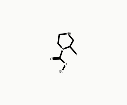 CCOC(=O)N1CCNCC1I